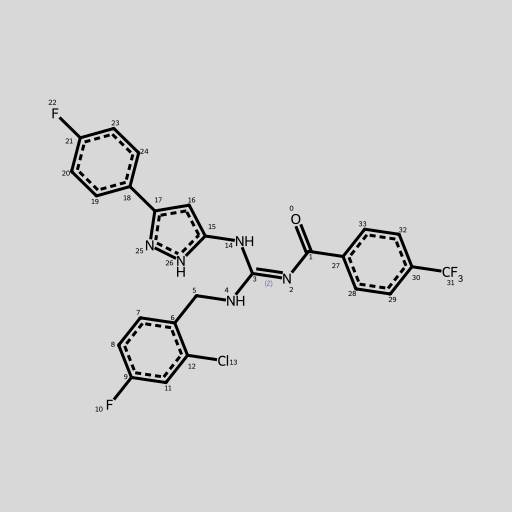 O=C(/N=C(/NCc1ccc(F)cc1Cl)Nc1cc(-c2ccc(F)cc2)n[nH]1)c1ccc(C(F)(F)F)cc1